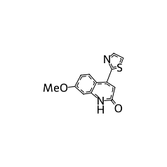 COc1ccc2c(-c3nccs3)cc(=O)[nH]c2c1